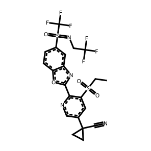 CCS(=O)(=O)c1cc(C2(C#N)CC2)cnc1-c1nc2cc(S(=O)(=NCC(F)(F)F)C(F)(F)F)ccc2o1